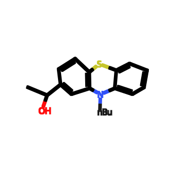 CCCCN1c2ccccc2Sc2ccc(C(C)O)cc21